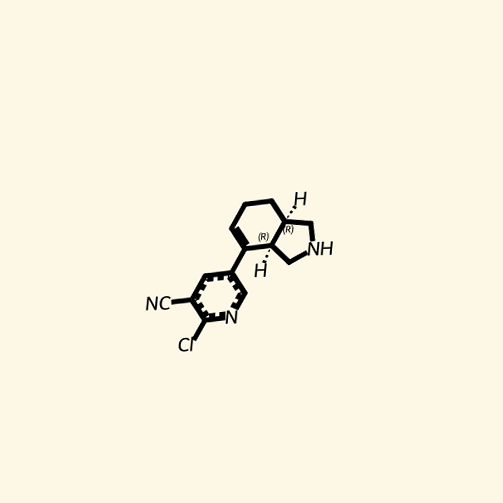 N#Cc1cc(C2=CCC[C@H]3CNC[C@@H]23)cnc1Cl